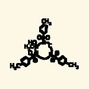 Cc1ccc(S(=O)(=O)N2CCCN(S(=O)(=O)c3ccc(C)cc3)CC(C)(O)CN(S(=O)(=O)c3ccc(C)cc3)CCC2)cc1